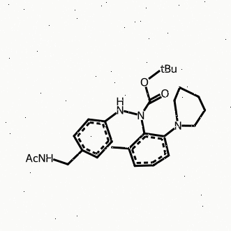 CC(=O)NCc1ccc(NN(C(=O)OC(C)(C)C)c2c(C)cccc2N2CCCCC2)cc1